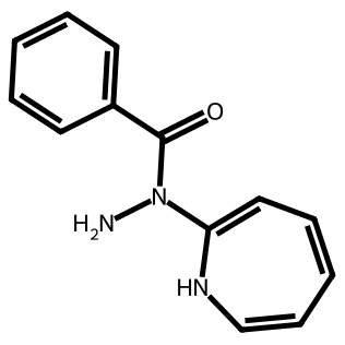 NN(C(=O)c1ccccc1)C1=CC=CC=CN1